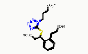 CCCCCCCCCCCCc1ccccc1C(CC(=O)O)Sc1nnnn1CCCC(=O)O